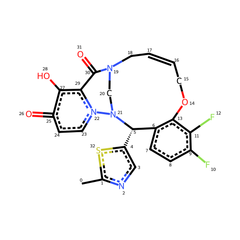 Cc1ncc([C@H]2c3ccc(F)c(F)c3OC/C=C\CN3CN2n2ccc(=O)c(O)c2C3=O)s1